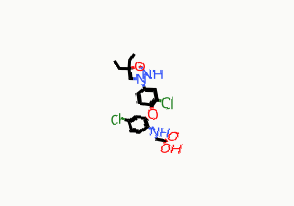 CCC1(CC)CN(c2ccc(Oc3cc(Cl)ccc3NCC(=O)O)c(Cl)c2)NO1